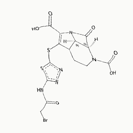 O=C(CBr)Nc1nnc(SC2=C(C(=O)O)N3C(=O)[C@@H]4[C@H]3C2CCN4C(=O)O)s1